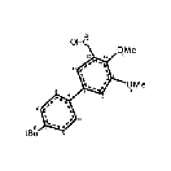 COc1cc(-c2ccc(C(C)(C)C)cc2)cc(C=O)c1OC